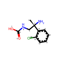 C[C@](N)(CNC(=O)O)c1ccccc1Cl